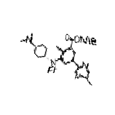 CCN(c1cc(-c2cnc(C)cn2)cc(C(=O)OC)c1C)[C@H]1CC[C@H](N(C)C)CC1